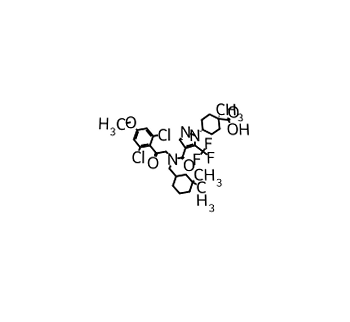 COc1cc(Cl)c(C(=O)CN(CC2CCCC(C)(C)C2)C(=O)c2cnn([C@H]3CC[C@](C)(C(=O)O)CC3)c2C(F)(F)F)c(Cl)c1